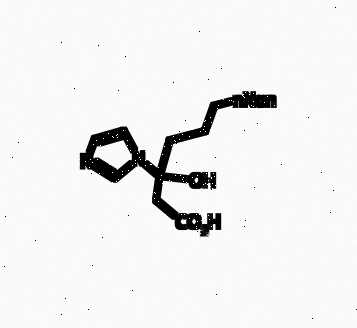 CCCCCCCCCCCCC(O)(CC(=O)O)n1ccnc1